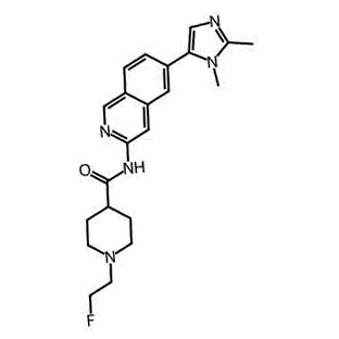 Cc1ncc(-c2ccc3cnc(NC(=O)C4CCN(CCF)CC4)cc3c2)n1C